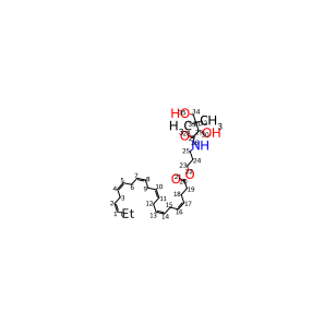 CC/C=C\C/C=C\C/C=C\C/C=C\C/C=C\C/C=C\CCC(=O)OCCCNC(=O)[C@@H](O)C(C)(C)CO